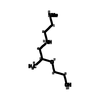 CNCCNCC(C)OCCO